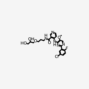 COc1cnc(-c2cc(Cl)ccc2F)nc1Nc1ccncc1C(=O)NCCCOCC(O)CO